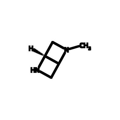 CN1C[C@@H]2NCC21